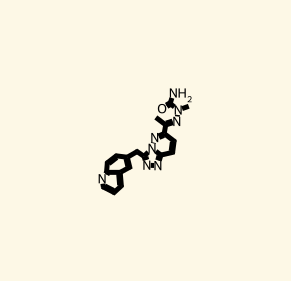 C/C(=N\N(C)C(N)=O)c1ccc2nnc(Cc3ccc4ncccc4c3)n2n1